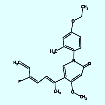 C=C/C(F)=C\C=C(/C)c1cn(-c2ccc(OCC)cc2C)c(=O)cc1OC